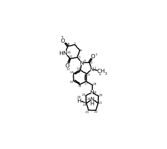 Cn1c(=O)n(C2CCC(=O)NC2=O)c2cccc(CN3CC4CC[C@H](C3)N4)c21